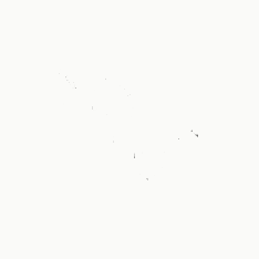 N#Cc1cc(F)cc(Oc2ccc(I)c3c2CCC3=O)c1